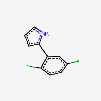 Fc1ccc(F)c(-c2ccc[nH]2)c1